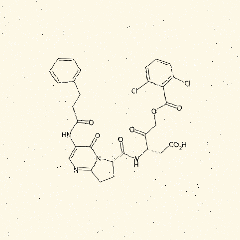 O=C(O)C[C@H](NC(=O)[C@@H]1CCc2ncc(NC(=O)CCc3ccccc3)c(=O)n21)C(=O)COC(=O)c1c(Cl)cccc1Cl